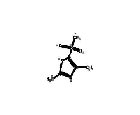 Cc1nc(C)c(S(C)(=O)=O)s1